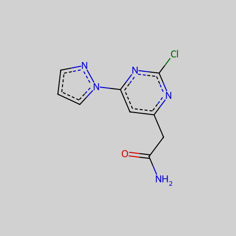 NC(=O)Cc1cc(-n2cccn2)nc(Cl)n1